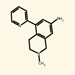 CN1CCc2c(cc(N)cc2-c2ccccn2)C1